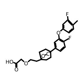 Cc1ccc(Oc2cc(C34CCC(CCOCC(=O)O)(CC3)OC4)ccc2F)cc1F